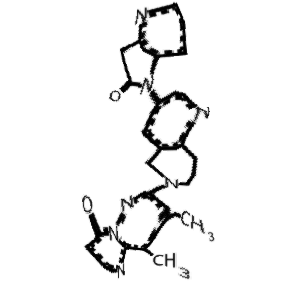 Cc1c(N2CCc3ncc(N4C(=O)Cc5ncccc54)cc3C2)nn2c(=O)ccnc2c1C